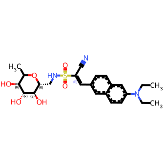 CCN(CC)c1ccc2cc(/C=C(\C#N)S(=O)(=O)NC[C@H]3OC(C)[C@H](O)[C@@H](O)[C@@H]3O)ccc2c1